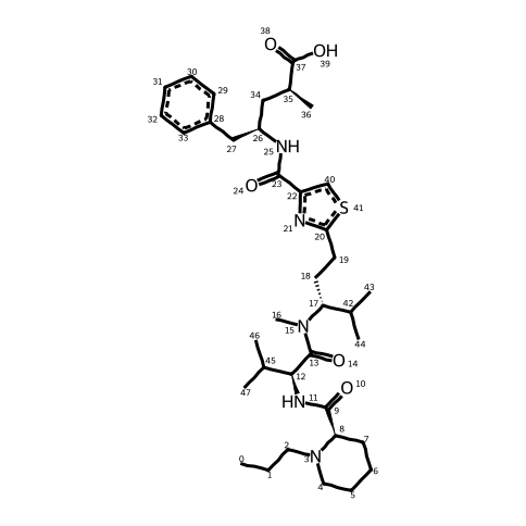 CCCN1CCCC[C@@H]1C(=O)N[C@H](C(=O)N(C)[C@H](CCc1nc(C(=O)N[C@@H](Cc2ccccc2)C[C@H](C)C(=O)O)cs1)C(C)C)C(C)C